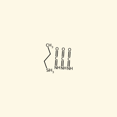 CCC[SiH3].N=C=O.N=C=O.N=C=O